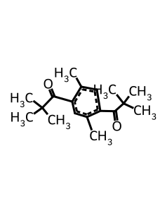 Cc1cc(C(=O)C(C)(C)C)c(C)cc1C(=O)C(C)(C)C